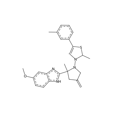 C=C1CN(N2[C]=C(c3cccc(C)c3)SC2C)C(C)(c2nc3cc(OC)ccc3[nH]2)C1